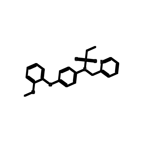 CCS(=O)(=O)N(Cc1ccccn1)c1ccc(Oc2ccccc2OC)cc1